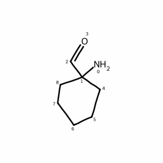 NC1(C=O)CCCCC1